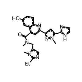 CCc1ncc(CN(C)C(=O)c2cc(-c3cc(-c4ncc[nH]4)n(C)n3)nc3ccc(O)cc23)n1C